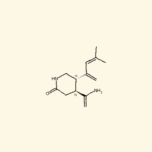 C=C(N)[C@H]1CC(=O)NC[C@@H]1C(=C)C=C(C)C